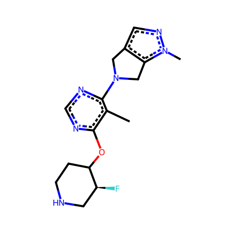 Cc1c(OC2CCNC[C@@H]2F)ncnc1N1Cc2cnn(C)c2C1